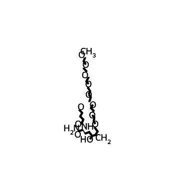 C=C(CCOCCOCCOCCOCCOCCOCCOCCOC)C(O)CC[C@H](NC(=O)CCCC=O)C(N)=O